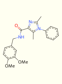 COc1ccc(CNC(=O)c2nc(C)n(-c3ccccc3)c2C)cc1OC